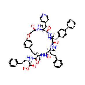 O=C1COc2ccc(cc2)C[C@@H](C(=O)N[C@H](CCc2ccccc2)C(=O)O)NC(=O)[C@H](CCc2ccccc2)NC(=O)[C@@H](Cc2ccc(-c3ccccc3)cc2)NC(=O)[C@H](Cc2ccncc2)N1